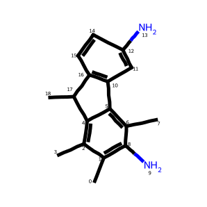 Cc1c(C)c2c(c(C)c1N)-c1cc(N)ccc1C2C